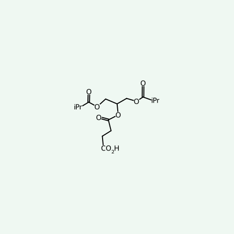 CC(C)C(=O)OCC(COC(=O)C(C)C)OC(=O)CCC(=O)O